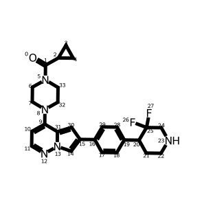 O=C(C1CC1)N1CCN(c2ccnn3cc(-c4ccc(C5CCNCC5(F)F)cc4)cc23)CC1